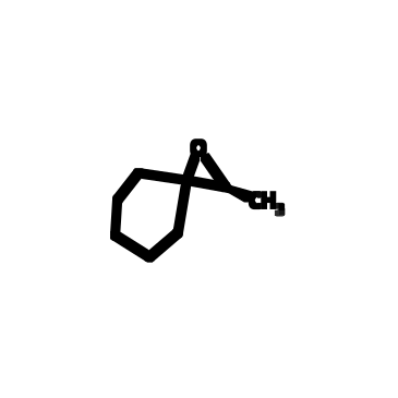 C[C@@H]1OC12CCCCC2